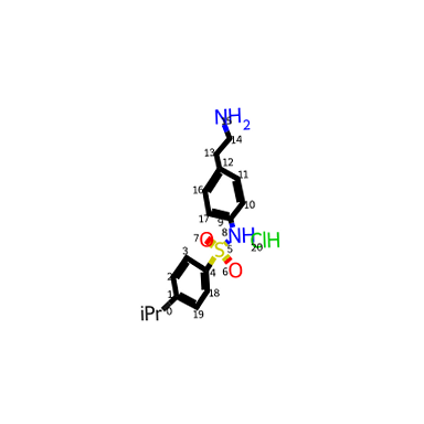 CC(C)c1ccc(S(=O)(=O)Nc2ccc(CCN)cc2)cc1.Cl